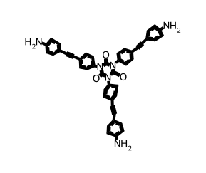 Nc1ccc(C#Cc2ccc(-n3c(=O)n(-c4ccc(C#Cc5ccc(N)cc5)cc4)c(=O)n(-c4ccc(C#Cc5ccc(N)cc5)cc4)c3=O)cc2)cc1